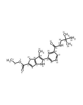 CCOC(=O)c1cc2[nH]c(-c3cncc(C(=O)NCC(C)(C)N)n3)c(C)c2s1